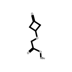 CCCCOC(=O)COC1CC(=O)C1